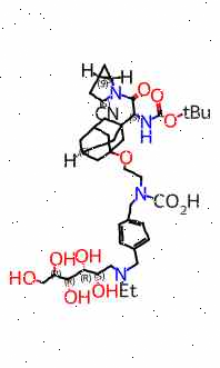 CCN(Cc1ccc(CN(CCOC23CC4C[C@H](C2)CC([C@H](NC(=O)OC(C)(C)C)C(=O)N2[C@H](C#N)C[C@@H]5C[C@@H]52)(C4)C3)C(=O)O)cc1)C[C@H](O)[C@@H](O)[C@H](O)[C@H](O)CO